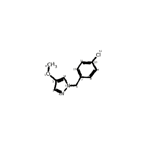 COc1cnn(Cc2ccc(Cl)cc2)c1